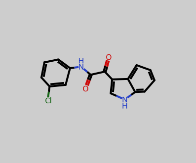 O=C(Nc1cccc(Cl)c1)C(=O)c1c[nH]c2ccccc12